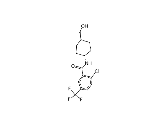 O=C(N[C@H]1CC[C@H](CO)CC1)c1cc(C(F)(F)F)ccc1Cl